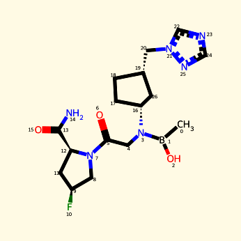 CB(O)N(CC(=O)N1C[C@@H](F)C[C@H]1C(N)=O)[C@@H]1CC[C@H](Cn2cncn2)C1